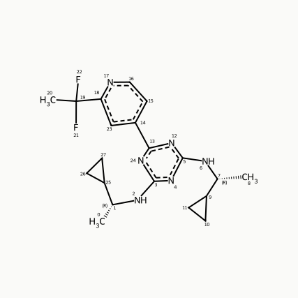 C[C@@H](Nc1nc(N[C@H](C)C2CC2)nc(-c2ccnc(C(C)(F)F)c2)n1)C1CC1